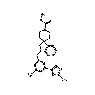 Cn1nnc(-c2cc(COCC3(c4ccccc4)CCN(C(=O)OC(C)(C)C)CC3)cc(C(F)(F)F)c2)n1